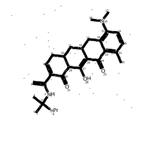 C=C(NC(C)(C)CCC)C1=CCC2CC3Cc4c(N(C)C)ccc(C)c4C(=O)C3=C(O)C2C1=O